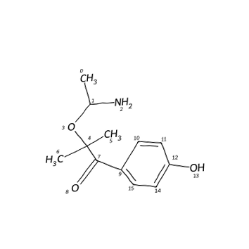 CC(N)OC(C)(C)C(=O)c1ccc(O)cc1